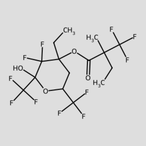 CCC1(OC(=O)C(C)(CC)C(F)(F)F)CC(C(F)(F)F)OC(O)(C(F)(F)F)C1(F)F